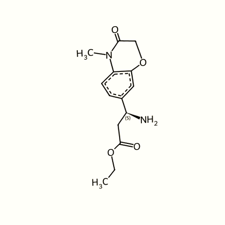 CCOC(=O)C[C@H](N)c1ccc2c(c1)OCC(=O)N2C